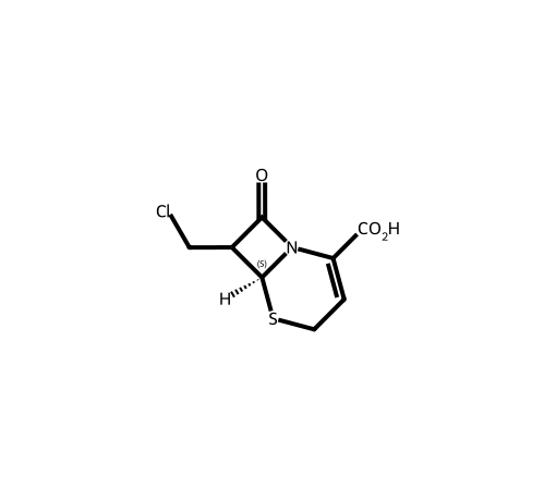 O=C(O)C1=CCS[C@H]2C(CCl)C(=O)N12